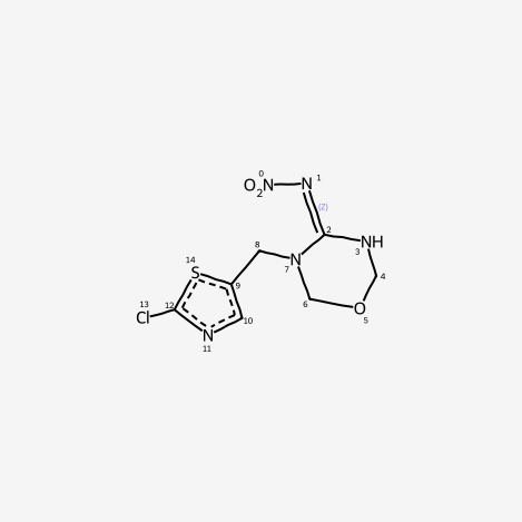 O=[N+]([O-])/N=C1/NCOCN1Cc1cnc(Cl)s1